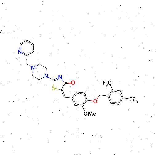 COc1cc(/C=C2/SC(N3CCN(Cc4ccccn4)CC3)=NC2=O)ccc1OCc1ccc(C(F)(F)F)cc1C(F)(F)F